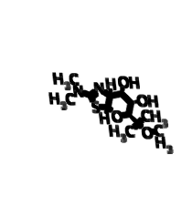 COC(C)(C)[C@H]1O[C@@H]2SC(N(C)C)=N[C@@H]2[C@@H](O)[C@@H]1O